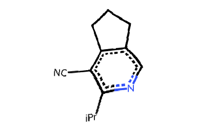 CC(C)c1ncc2c(c1C#N)CCC2